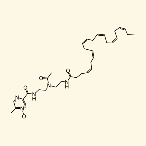 CC/C=C\C/C=C\C/C=C\C/C=C\C/C=C\C/C=C\CCC(=O)NCCN(CCNC(=O)c1c[n+]([O-])c(C)cn1)C(C)=O